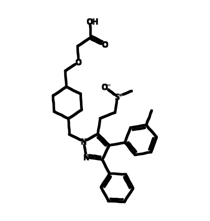 Cc1cccc(-c2c(-c3ccccc3)nn(CC3CCC(COCC(=O)O)CC3)c2CC[S+](C)[O-])c1